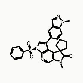 CN1C(=O)C2(CCCC2)c2c1cnc1c2c(-c2ccc3c(cnn3C)c2)cn1S(=O)(=O)c1ccccc1